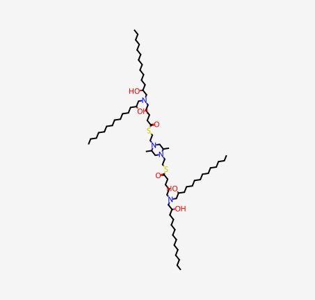 CCCCCCCCCCCCC(O)CN(CCCCC(=O)SCCN1CC(C)N(CCSC(=O)CCCCN(CC(O)CCCCCCCCCCCC)CC(O)CCCCCCCCCCCC)CC1C)CC(O)CCCCCCCCCCCC